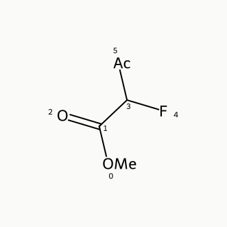 COC(=O)C(F)C(C)=O